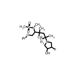 CC(C)OCC(N(C)S(C)(=O)=O)C(C)(C)CC(C)(C)N1CC(O)C(F)C1